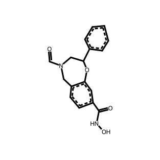 O=CN1Cc2ccc(C(=O)NO)cc2OC(c2ccccc2)C1